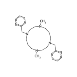 CN1CCCN(Cc2ccccn2)CCN(C)CCCN(Cc2ccccn2)CC1